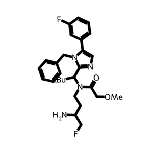 COCC(=O)N(CCC(N)CF)C(c1ncc(-c2cccc(F)c2)n1Cc1ccccc1)C(C)(C)C